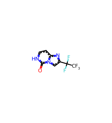 O=c1[nH]ccc2nc(C(F)(F)C(F)(F)F)cn12